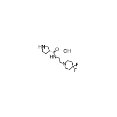 Cl.O=C(NCCN1CCC(F)(F)CC1)[C@@H]1CCNC1